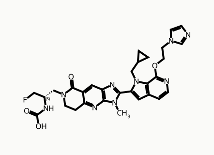 Cn1c(-c2cc3ccnc(OCCn4ccnc4)c3n2CC2CC2)nc2cc3c(nc21)CCN(C[C@@H](CF)NC(=O)O)C3=O